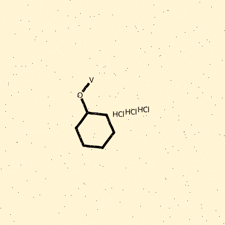 Cl.Cl.Cl.[V][O]C1CCCCC1